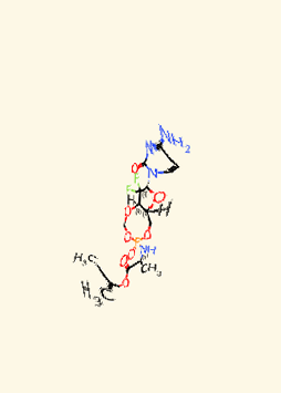 CC(C)OC(=O)[C@H](C)NP1(=O)OCO[C@@H]2[C@@H](CO1)O[C@@H](n1ccc(N)nc1=O)C2(F)F